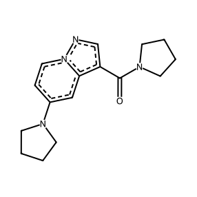 O=C(c1cnn2ccc(N3CCCC3)cc12)N1CCCC1